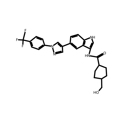 O=C(Nc1c[nH]c2ccc(-c3cnn(-c4ccc(C(F)(F)F)cc4)c3)cc12)C1CCC(CO)CC1